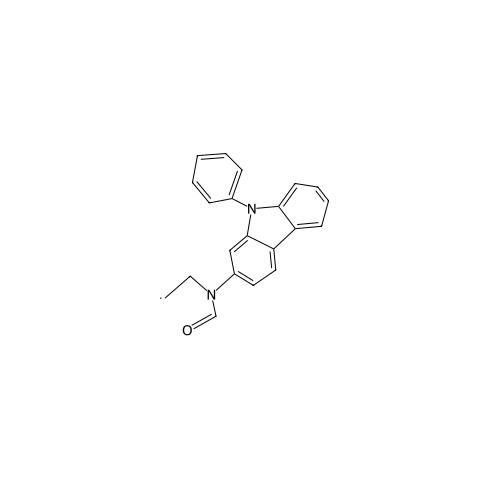 [CH2]CN(C=O)c1ccc2c3ccccc3n(-c3ccccc3)c2c1